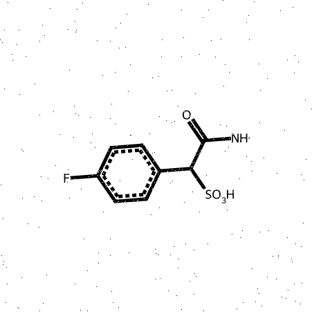 [NH]C(=O)C(c1ccc(F)cc1)S(=O)(=O)O